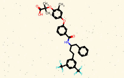 Cc1cc(Oc2cccc(C(=O)NC(CCc3cc(C(F)(F)F)cc(C(F)(F)F)c3)Cc3ccccc3)c2)ccc1OC(C)(C)C(=O)O